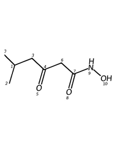 CC(C)CC(=O)CC(=O)NO